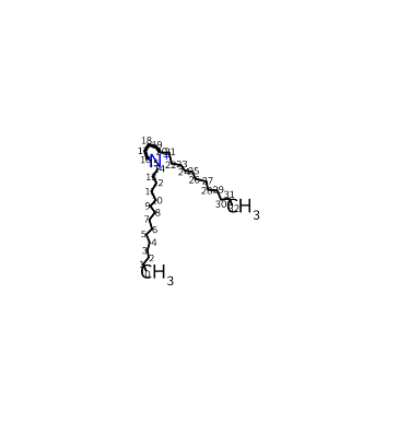 CCCCCCCCCCCCCCC[n+]1ccccc1CCCCCCCCCCCC